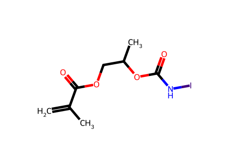 C=C(C)C(=O)OCC(C)OC(=O)NI